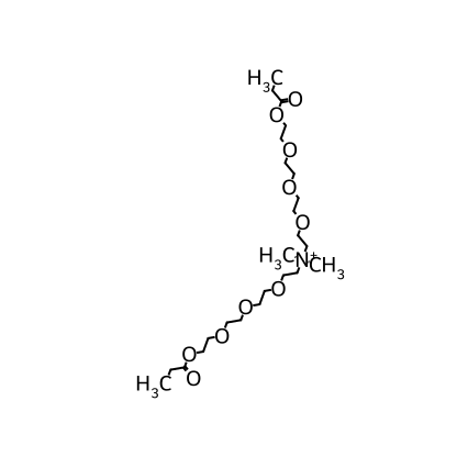 CCC(=O)OCCOCCOCCOCC[N+](C)(C)CCOCCOCCOCCOC(=O)CC